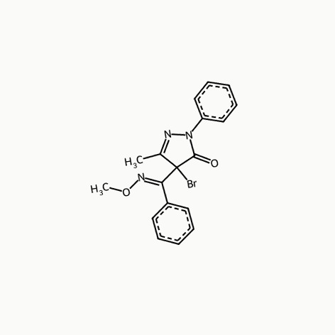 CON=C(c1ccccc1)C1(Br)C(=O)N(c2ccccc2)N=C1C